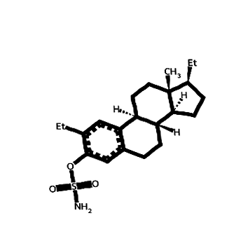 CCc1cc2c(cc1OS(N)(=O)=O)CC[C@@H]1[C@@H]2CC[C@]2(C)[C@@H](CC)CC[C@@H]12